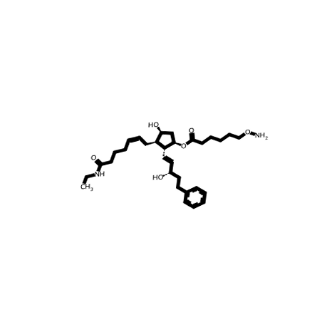 CCNC(=O)CCC/C=C\C[C@@H]1[C@@H](/C=C/[C@@H](O)CCc2ccccc2)[C@H](OC(=O)CCCCCON)C[C@@H]1O